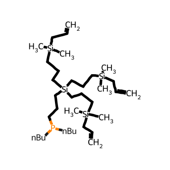 C=CC[Si](C)(C)CCC[Si](CCCP(CCCC)CCCC)(CCC[Si](C)(C)CC=C)CCC[Si](C)(C)CC=C